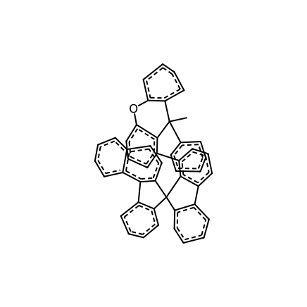 CC1(c2ccccc2)c2ccccc2Oc2cccc(-c3cccc4c3C3(c5ccccc5-4)c4ccccc4-c4c3ccc3ccccc43)c21